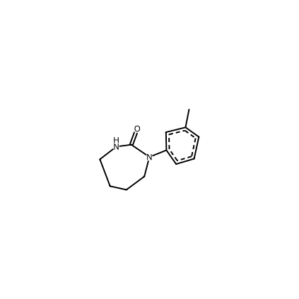 Cc1cccc(N2CCCCNC2=O)c1